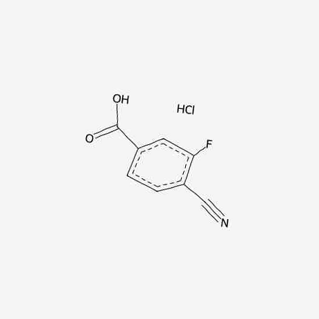 Cl.N#Cc1ccc(C(=O)O)cc1F